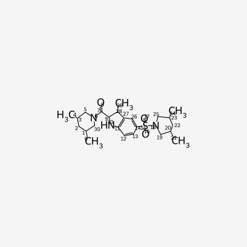 CC1CC(C)CN(C(=O)C2Nc3ccc(S(=O)(=O)N4CC(C)CC(C)C4)cc3C2C)C1